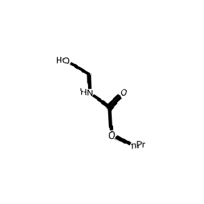 CCCOC(=O)NCO